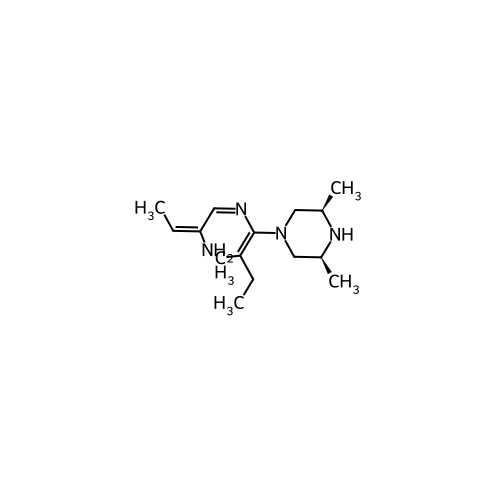 C\C=C(N)/C=N\C(=C(/C)CC)N1C[C@@H](C)N[C@@H](C)C1